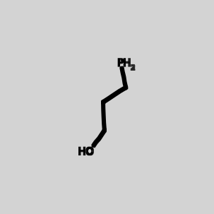 OCCCP